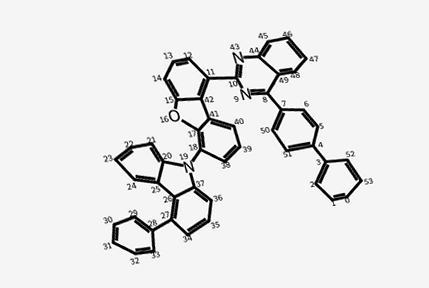 c1ccc(-c2ccc(-c3nc(-c4cccc5oc6c(-n7c8ccccc8c8c(-c9ccccc9)cccc87)cccc6c45)nc4ccccc34)cc2)cc1